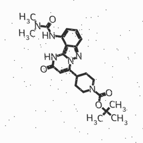 CN(C)C(=O)Nc1cccc2nn3c(C4CCN(C(=O)OC(C)(C)C)CC4)cc(=O)[nH]c3c12